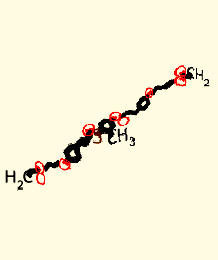 C=CC(=O)OCCCCOc1ccc(/C=C/C(=O)Oc2ccc(SC(=O)/C=C/c3ccc(OCCCCOC(=O)C=C)cc3)c(C)c2)cc1